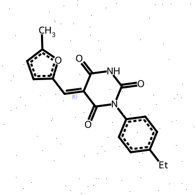 CCc1ccc(N2C(=O)NC(=O)/C(=C\c3ccc(C)o3)C2=O)cc1